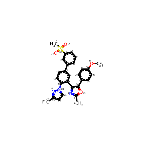 Cc1nc(-c2cc(-c3cccc(S(C)(=O)=O)c3)ccc2-n2ccc(C(F)(F)F)n2)c(-c2ccc(OC(F)(F)F)cc2)o1